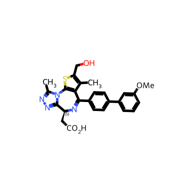 COc1cccc(-c2ccc(C3=N[C@@H](CC(=O)O)c4nnc(C)n4-c4sc(CO)c(C)c43)cc2)c1